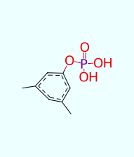 Cc1cc(C)cc(OP(=O)(O)O)c1